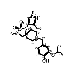 Cc1nn(C)cc1N1[C@@]2(CCN(Cc3ccc(O)c(OC(C)C)c3)[C@@H](C)C2)CN(C)S1(=O)=O